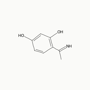 CC(=N)c1ccc(O)cc1O